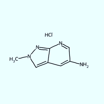 Cl.Cn1cc2cc(N)cnc2n1